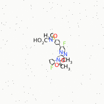 Cc1nc2cc(F)c(-c3ccc(S(C)(=O)=NCC(=O)O)cc3)cn2c1CN1C(=O)[C@H](C)Oc2c(F)cccc21